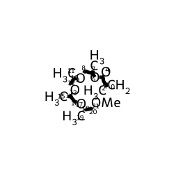 C=C(C)C(=O)OC(C)COC(C)COC(C)COC(C)COC